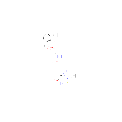 Cc1cccc(C)c1OC(=O)CCNC(=O)CCNc1cc(=O)n(C)c(=S)n1C